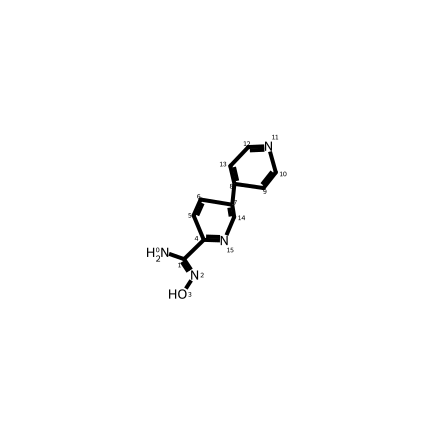 N/C(=N\O)c1ccc(-c2ccncc2)cn1